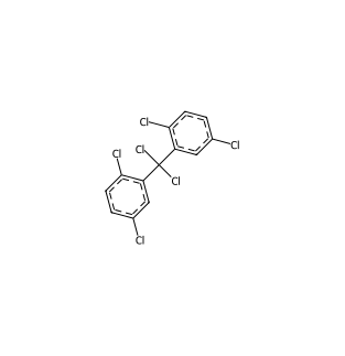 Clc1ccc(Cl)c(C(Cl)(Cl)c2cc(Cl)ccc2Cl)c1